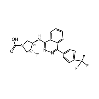 O=C(O)N1C[C@@H](F)[C@H](Nc2nnc(-c3ccc(C(F)(F)F)cc3)c3ccccc23)C1